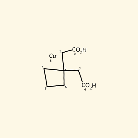 O=C(O)CC1(CC(=O)O)CCC1.[Cu]